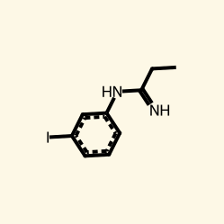 CCC(=N)Nc1cccc(I)c1